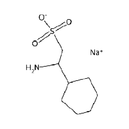 NC(CS(=O)(=O)[O-])C1CCCCC1.[Na+]